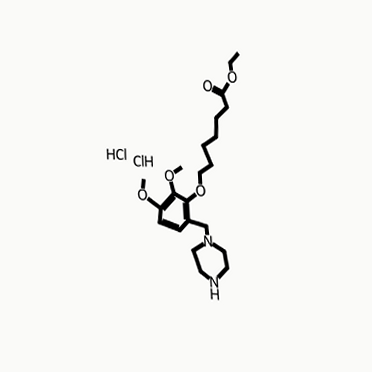 CCOC(=O)CCCCCCOc1c(CN2CCNCC2)ccc(OC)c1OC.Cl.Cl